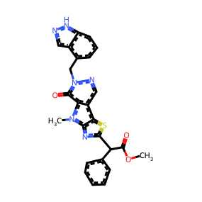 COC(=O)C(c1ccccc1)c1nc2c(s1)c1cnn(Cc3cccc4[nH]ncc34)c(=O)c1n2C